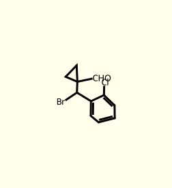 O=CC1(C(Br)c2ccccc2Cl)CC1